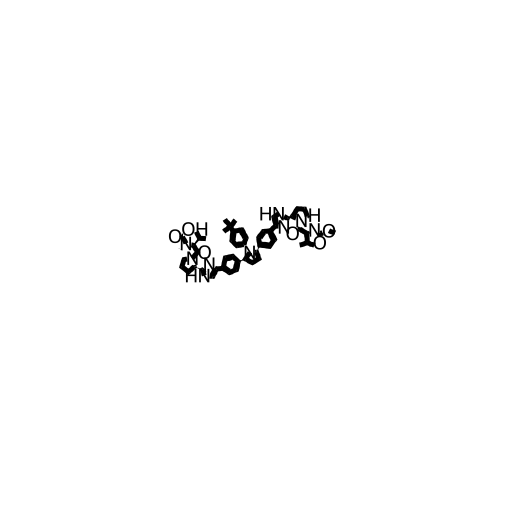 COC(=O)N[C@H](C(=O)N1CCC[C@H]1c1nc(-c2ccc([C@@H]3CC[C@H](c4ccc(-c5c[nH]c([C@@H]6CCCN6C(=O)[C@H](C(C)C)N(C)C(=O)O)n5)cc4)N3c3ccc(C(C)(C)C)cc3)cc2)c[nH]1)C(C)C